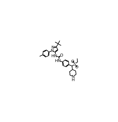 CCS(=O)(=O)C(c1ccc(NC(=O)Nc2cc(C(C)(C)C)nn2-c2ccc(C)cc2)cc1)C1CCNCC1